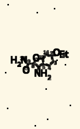 CCOc1ccc2c(N)c(C(N)=O)oc2c1